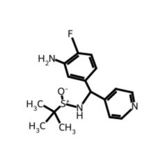 CC(C)(C)[S+]([O-])NC(c1ccncc1)c1ccc(F)c(N)c1